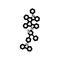 c1ccc(-c2cc(-n3c4ccccc4c4c5c(c6ccccc6c6c5c5ccccc5n6-c5ccccc5)c5ccccc5c43)ncc2-c2ccc(-n3c4ccccc4c4ccccc43)cc2)cc1